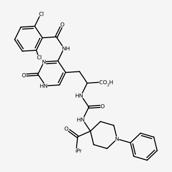 CC(C)C(=O)C1(NC(=O)NC(Cc2c[nH]c(=O)nc2NC(=O)c2c(Cl)cccc2Cl)C(=O)O)CCN(c2ccccc2)CC1